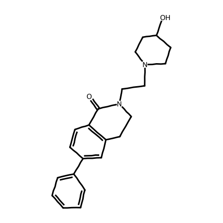 O=C1c2ccc(-c3ccccc3)cc2CCN1CCN1CCC(O)CC1